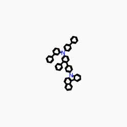 C1=CC2c3c(ccc4ccccc34)N(c3ccc(-c4ccc(N(c5ccc(-c6ccccc6)cc5)c5cccc(-c6ccccc6)c5)cc4-c4ccccc4)cc3)C2C=C1